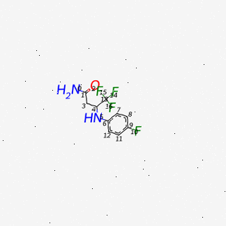 NC(=O)CC(Nc1ccc(F)cc1)C(F)(F)F